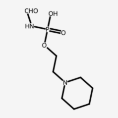 O=CNP(=O)(O)OCCN1CCCCC1